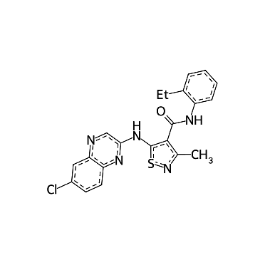 CCc1ccccc1NC(=O)c1c(C)nsc1Nc1cnc2cc(Cl)ccc2n1